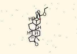 CCOC(=O)CC(O)[C@]12CCC(=O)CC1CC[C@@H]1[C@H]2CC[C@]2(C)C(=O)CC[C@@H]12